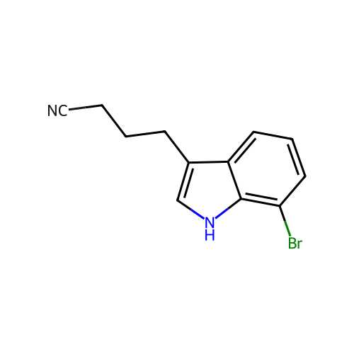 N#CCCCc1c[nH]c2c(Br)cccc12